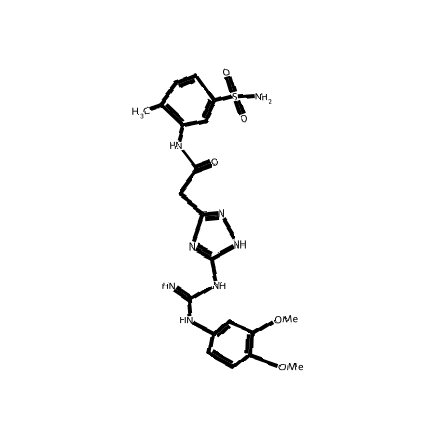 COc1ccc(NC(=N)Nc2nc(CC(=O)Nc3cc(S(N)(=O)=O)ccc3C)n[nH]2)cc1OC